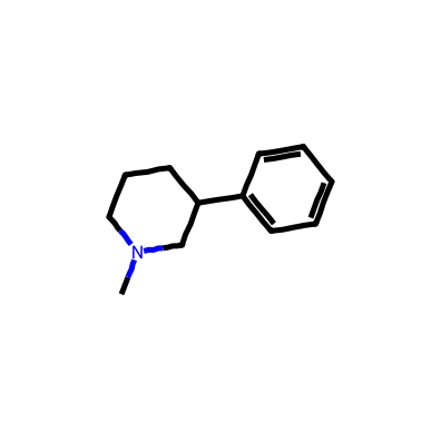 CN1CCCC(c2ccccc2)C1